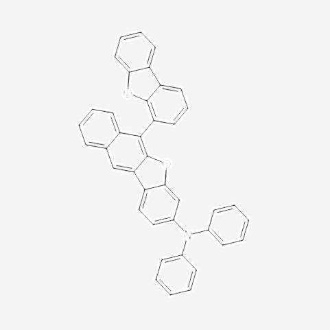 c1ccc(N(c2ccccc2)c2ccc3c(c2)oc2c(-c4cccc5c4oc4ccccc45)c4ccccc4cc23)cc1